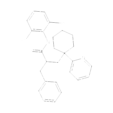 CC(C)c1cccc(C(C)C)c1NC(=O)C(Cc1ccccc1)CC1(c2ccccn2)CCCCC1